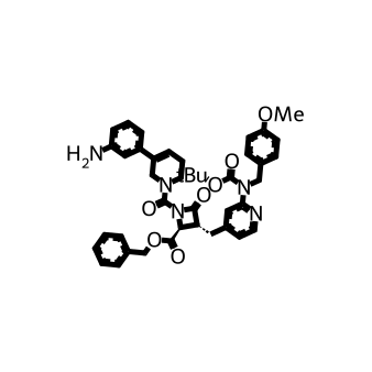 COc1ccc(CN(C(=O)OC(C)(C)C)c2cc(C[C@H]3C(=O)N(C(=O)N4CCC=C(c5cccc(N)c5)C4)[C@@H]3C(=O)OCc3ccccc3)ccn2)cc1